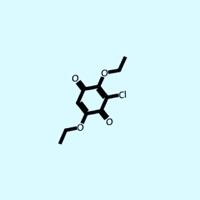 CCOC1=CC(=O)C(OCC)=C(Cl)C1=O